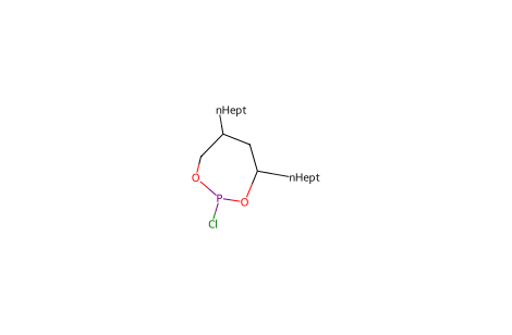 CCCCCCCC1COP(Cl)OC(CCCCCCC)C1